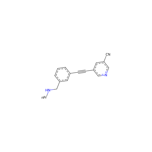 CCCNCc1cccc(C#Cc2cncc(C#N)c2)c1